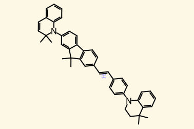 CC1(C)CCN(c2ccc(/C=C/c3ccc4c(c3)C(C)(C)c3cc(N5c6ccccc6C=CC5(C)C)ccc3-4)cc2)c2ccccc21